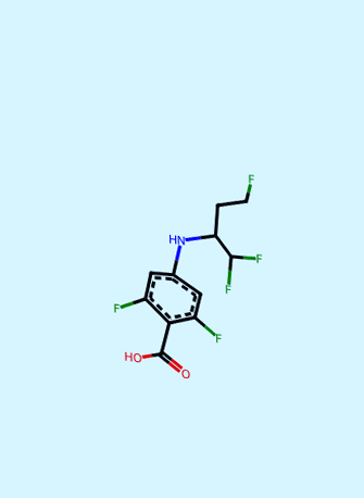 O=C(O)c1c(F)cc(NC(CCF)C(F)F)cc1F